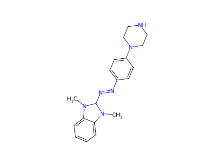 CN1c2ccccc2N(C)C1N=Nc1ccc(N2CCNCC2)cc1